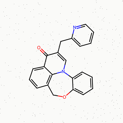 O=c1c(Cc2ccccn2)cn2c3c(cccc13)COc1ccccc1-2